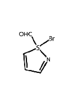 O=CS1(Br)C=CC=N1